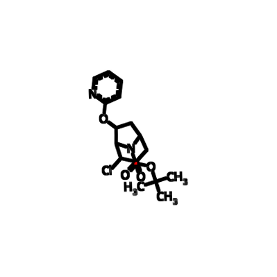 CC(C)(C)OC(=O)N1C2CC(=O)C(Cl)C1C(Oc1ccccn1)C2